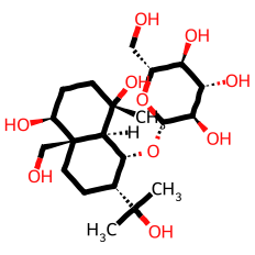 CC(C)(O)[C@@H]1CC[C@]2(CO)[C@@H](O)CC[C@](C)(O)[C@H]2[C@@H]1O[C@@H]1O[C@H](CO)[C@@H](O)[C@H](O)[C@H]1O